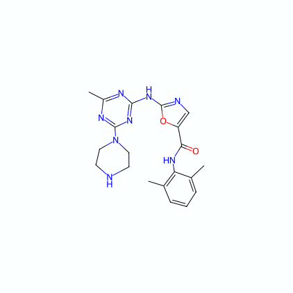 Cc1nc(Nc2ncc(C(=O)Nc3c(C)cccc3C)o2)nc(N2CCNCC2)n1